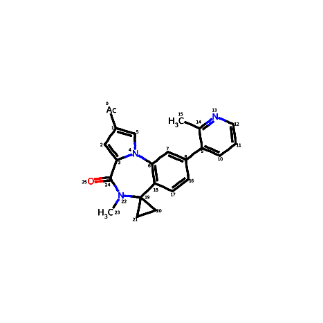 CC(=O)c1cc2n(c1)-c1cc(-c3cccnc3C)ccc1C1(CC1)N(C)C2=O